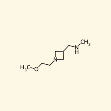 CNCC1CN(CCOC)C1